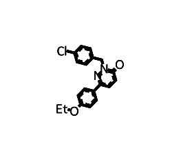 CCOc1ccc(-c2ccc(=O)n(Cc3ccc(Cl)cc3)n2)cc1